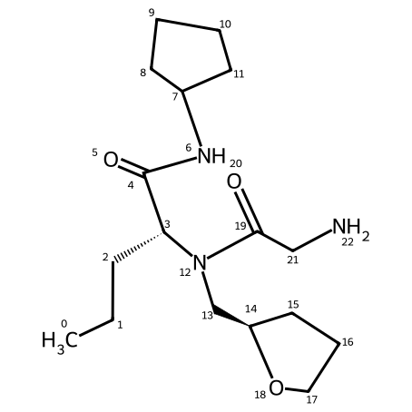 CCC[C@H](C(=O)NC1CCCC1)N(C[C@H]1CCCO1)C(=O)CN